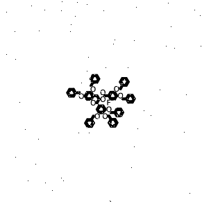 O=C(O[C@@H]1Cc2c(OCc3ccccc3)cc(OCc3ccccc3)cc2O[C@H]1c1cc(OCc2ccccc2)c(OCc2ccccc2)c(OCc2ccccc2)c1)c1cc(OCc2ccccc2)c(OCc2ccccc2)cc1F